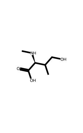 CN[C@H](C(=O)O)C(C)CO